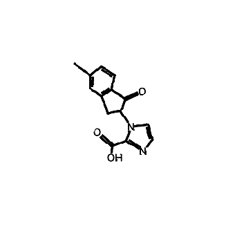 Cc1ccc2c(c1)CC(n1ccnc1C(=O)O)C2=O